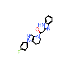 O=C(Cc1nc2ccccc2[nH]1)N1CCCc2c1cnn2-c1ccc(F)cc1